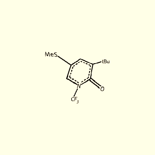 CSc1cc(C(C)(C)C)c(=O)n(C(F)(F)F)c1